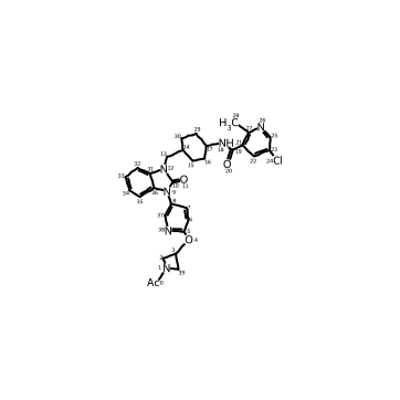 CC(=O)N1CC(Oc2ccc(-n3c(=O)n(CC4CCC(NC(=O)c5cc(Cl)cnc5C)CC4)c4ccccc43)cn2)C1